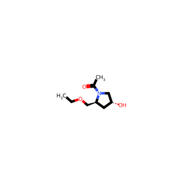 CCOC[C@@H]1C[C@@H](O)CN1C(C)=O